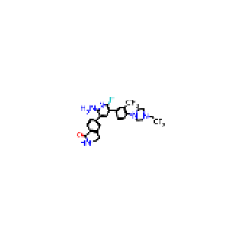 Nc1nc(F)c(-c2ccc(N3CCN(CC(F)(F)F)CC3)c(C(F)(F)F)c2)cc1-c1ccc2c(c1)CCNC2=O